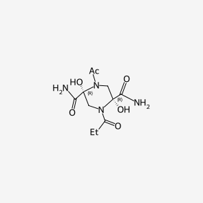 CCC(=O)N1C[C@@](O)(C(N)=O)N(C(C)=O)C[C@@]1(O)C(N)=O